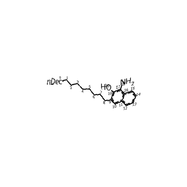 CCCCCCCCCCCCCCCCCCc1cc2ccccc2c(N)c1O